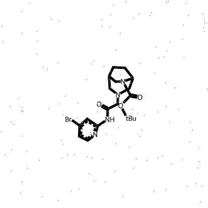 CC(C)(C)OC(=O)N1CC2CCC1CN(CC(=O)Nc1cc(Br)ccn1)C2